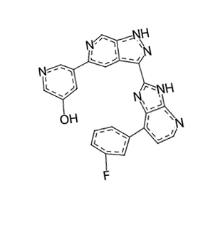 Oc1cncc(-c2cc3c(-c4nc5c(-c6cccc(F)c6)ccnc5[nH]4)n[nH]c3cn2)c1